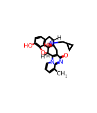 Cc1cccn2c3c(c(=O)nc12)C[C@@]1(O)[C@H]2Cc4ccc(O)c5c4[C@@]1(CCN2CC1CC1)[C@H]3O5